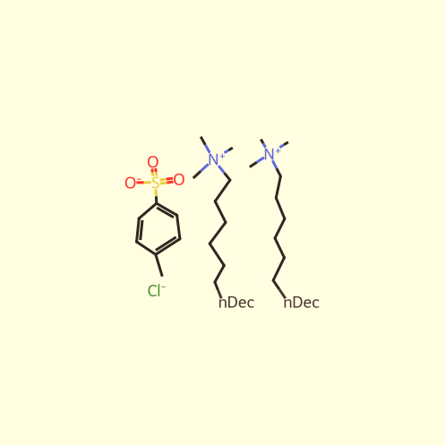 CCCCCCCCCCCCCCCC[N+](C)(C)C.CCCCCCCCCCCCCCCC[N+](C)(C)C.Cc1ccc(S(=O)(=O)[O-])cc1.[Cl-]